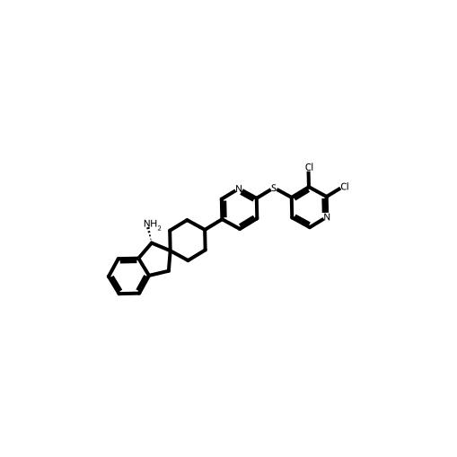 N[C@H]1c2ccccc2CC12CCC(c1ccc(Sc3ccnc(Cl)c3Cl)nc1)CC2